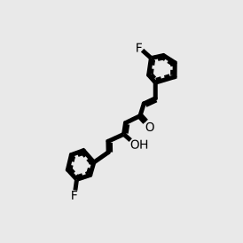 O=C(C=Cc1cccc(F)c1)C=C(O)C=Cc1cccc(F)c1